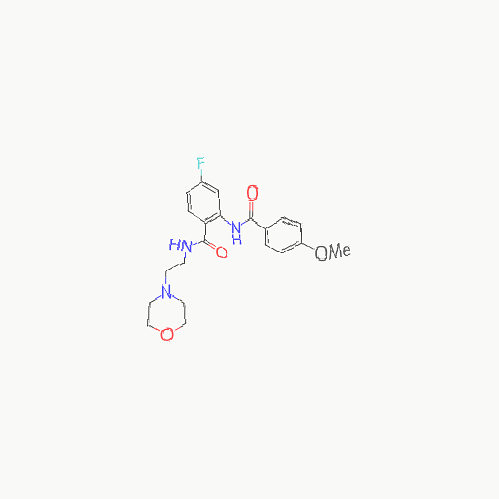 COc1ccc(C(=O)Nc2cc(F)ccc2C(=O)NCCN2CCOCC2)cc1